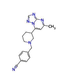 Cc1cc(C2CCCN(Cc3ccc(C#N)cc3)C2)n2ncnc2n1